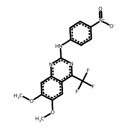 COc1cc2nc(Nc3ccc([N+](=O)[O-])cc3)nc(C(F)(F)F)c2cc1OC